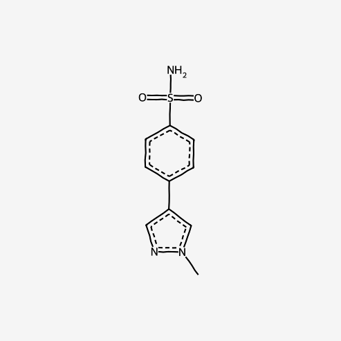 Cn1cc(-c2ccc(S(N)(=O)=O)cc2)cn1